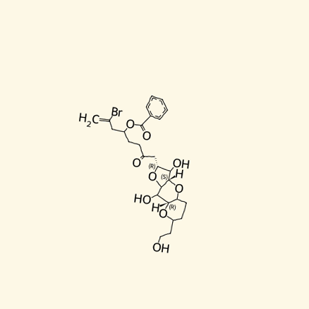 C=C(Br)CC(CCC(=O)C[C@H]1OC2C(O)[C@H]3OC(CCO)CCC3O[C@H]2C1O)OC(=O)c1ccccc1